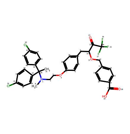 CN(CCOc1ccc(CC(OCc2ccc(C(=O)O)cc2)C(=O)C(F)(F)F)cc1)C(C)(c1ccc(Cl)cc1)c1ccc(Cl)cc1